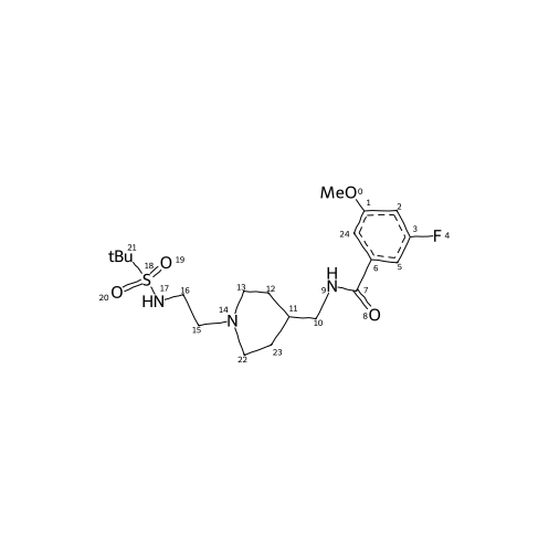 COc1cc(F)cc(C(=O)NCC2CCN(CCNS(=O)(=O)C(C)(C)C)CC2)c1